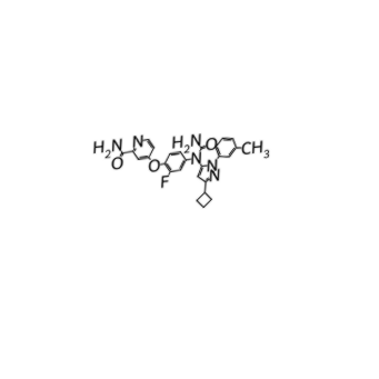 Cc1cccc(-n2nc(C3CCC3)cc2N(C(N)=O)c2ccc(Oc3ccnc(C(N)=O)c3)c(F)c2)c1